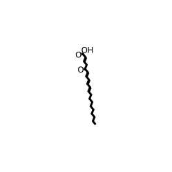 CCCCCCCCCC=CC=CC=CC(=O)CC=CC(=O)O